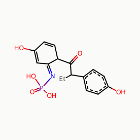 CCC(C(=O)C1C=CC(O)=CC1=NP(=O)(O)O)c1ccc(O)cc1